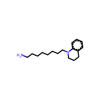 NCCCCCCCCN1CCCc2ccccc21